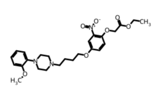 CCOC(=O)COc1ccc(OCCCCN2CCN(c3ccccc3OC)CC2)cc1[N+](=O)[O-]